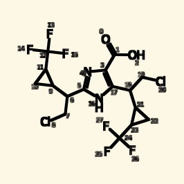 O=C(O)c1nc(C(CCl)C2CC2C(F)(F)F)[nH]c1C(CCl)C1CC1C(F)(F)F